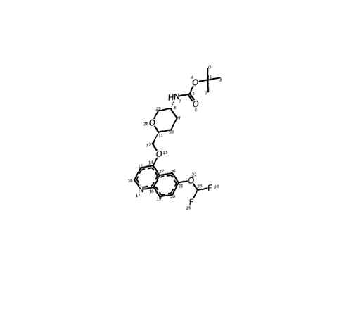 CC(C)(C)OC(=O)N[C@@H]1CC[C@@H](COc2ccnc3ccc(OC(F)F)cc23)OC1